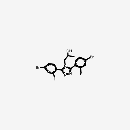 CC(O)Cn1c(-c2ccc(Br)cc2F)nnc1-c1ccc(Br)cc1F